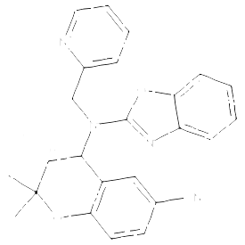 CC1(C)Oc2ccc(C#N)cc2C(N(Cc2ccccn2)c2nc3ccccc3o2)[C@H]1O